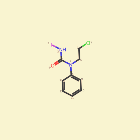 O=C(NI)N(CCCl)c1ccccc1